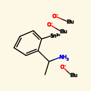 CC(N)c1cccc[c]1[Sn+3].CCC(C)[O-].CCC(C)[O-].CCC(C)[O-]